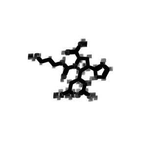 CCCCOC(=O)N1[C@@H]([C@H](CC(C)C)NC(C)=O)[C@H](c2nccs2)C[C@@H]1C(=O)O